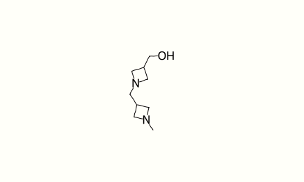 CN1CC(CN2CC(CO)C2)C1